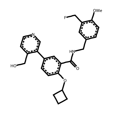 COc1ccc(CNC(=O)c2cc(-c3cnccc3CO)ccc2OC2CCC2)cc1CF